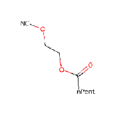 CCCCCC(=O)OCCOC#N